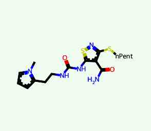 CCCCCSc1nsc(NC(=O)NCCc2cccn2C)c1C(N)=O